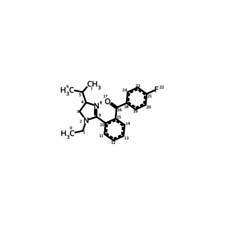 CCN1CC(C(C)C)N=C1c1ccccc1C(=O)c1ccc(F)cc1